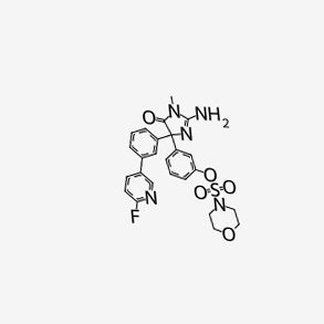 CN1C(=O)C(c2cccc(OS(=O)(=O)N3CCOCC3)c2)(c2cccc(-c3ccc(F)nc3)c2)N=C1N